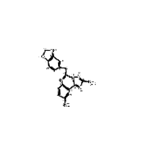 [C-]#[N+]c1ccc2nc(Cc3ccc4c(c3)OCO4)n3nc(N)nc3c2c1